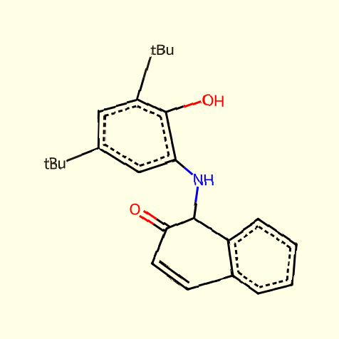 CC(C)(C)c1cc(NC2C(=O)C=Cc3ccccc32)c(O)c(C(C)(C)C)c1